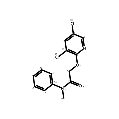 CN(C(=O)COc1ncc(Cl)cc1Cl)c1ccccc1